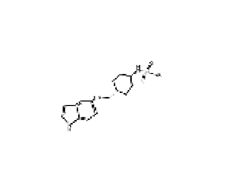 CC(C)(C)S(=O)(=O)N[C@H]1CC[C@H](CNc2ccc3[nH]ccc3c2)CC1